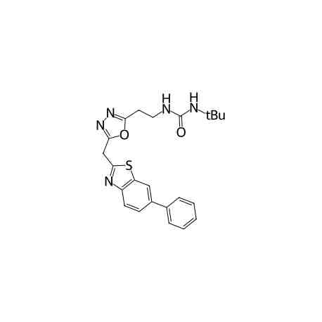 CC(C)(C)NC(=O)NCCc1nnc(Cc2nc3ccc(-c4ccccc4)cc3s2)o1